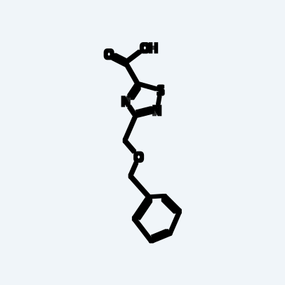 O=C(O)c1nc(COCc2ccccc2)ns1